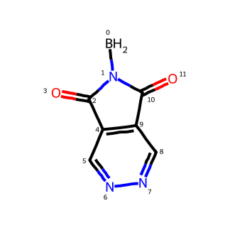 BN1C(=O)c2cnncc2C1=O